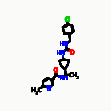 Cc1ccc(C(=O)NC(C)C2CCC(NC(=O)NCc3ccc(Cl)cc3)CC2)cn1